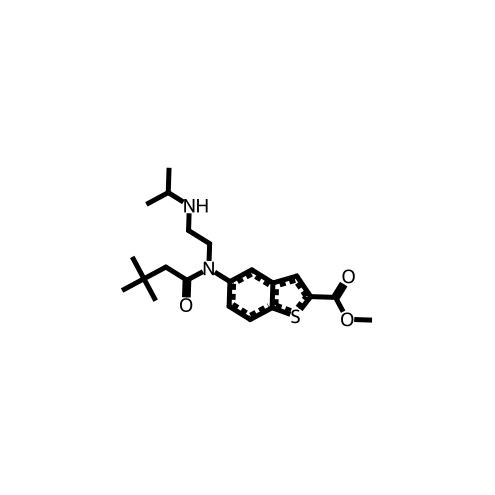 COC(=O)c1cc2cc(N(CCNC(C)C)C(=O)CC(C)(C)C)ccc2s1